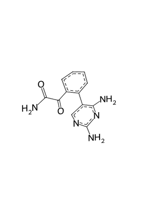 NC(=O)C(=O)c1ccccc1-c1cnc(N)nc1N